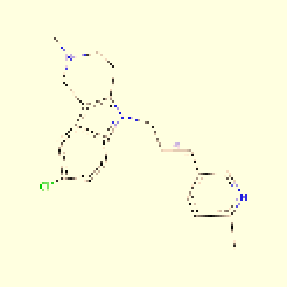 Cc1ccc(/C=C/Cn2c3c(c4cc(Cl)ccc42)CN(C)CC3)cn1